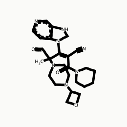 CC(C=O)(C(=C(C#N)C(=O)N1CCCCC1)N1CNc2cnccc21)N1CCN(C2COC2)CC1